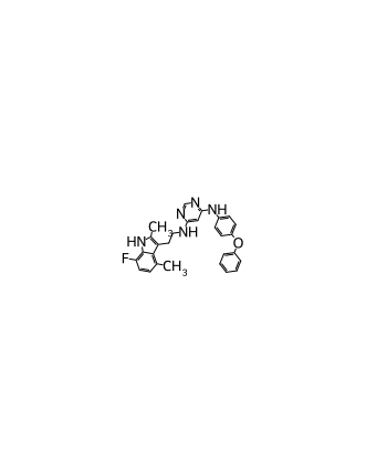 Cc1[nH]c2c(F)ccc(C)c2c1CCNc1cc(Nc2ccc(Oc3ccccc3)cc2)ncn1